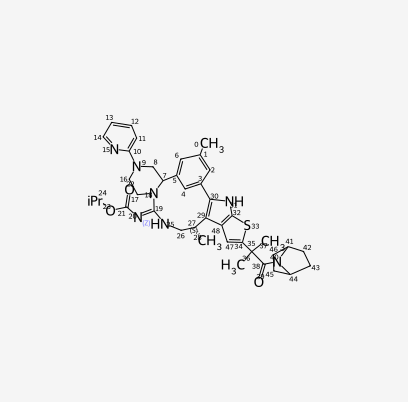 Cc1cc2cc(c1)C1CN(c3ccccn3)CCN1/C(=N\C(=O)OC(C)C)NC[C@@H](C)c1c-2[nH]c2sc(C(C)(C)C(=O)N3C4CCC3CC4)cc12